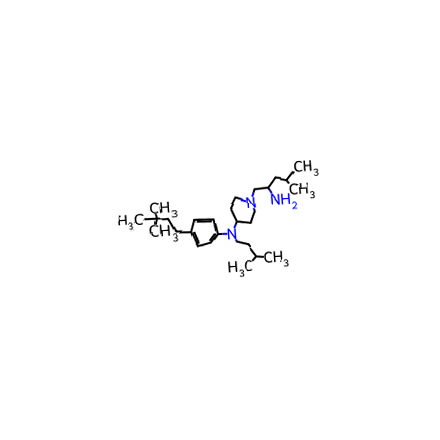 CC(C)CCN(c1ccc(CCC(C)(C)C)cc1)C1CCN(CC(N)CC(C)C)CC1